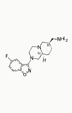 NC[C@H]1CC[C@H]2CN(c3noc4ccc(F)cc34)CCN2C1